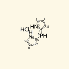 Cl.c1c[nH]c(Pc2ccc[nH]2)c1